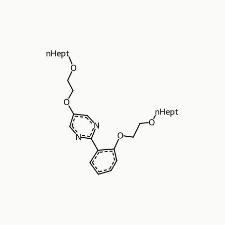 CCCCCCCOCCOc1cnc(-c2ccccc2OCCOCCCCCCC)nc1